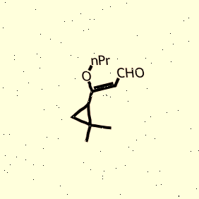 CCCOC(=CC=O)C1CC1(C)C